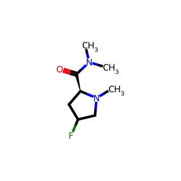 CN(C)C(=O)[C@@H]1CC(F)CN1C